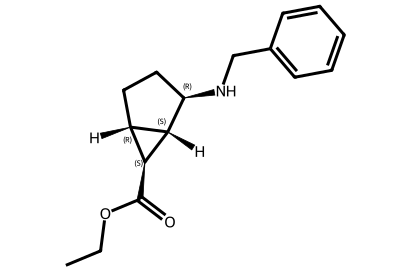 CCOC(=O)[C@H]1[C@@H]2CC[C@@H](NCc3ccccc3)[C@@H]21